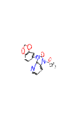 CC(=O)n1c(=O)n(-c2ccc3c(c2)OCO3)c2ncccc21